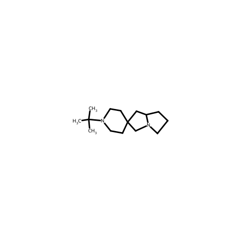 CC(C)(C)N1CCC2(CC1)CC1CCCN1C2